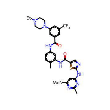 CCN1CCN(c2cc(C(=O)Nc3ccc(C)c(NC(=O)c4cnc(Nc5cc(NC)nc(C)n5)s4)c3)cc(C(F)(F)F)c2)CC1